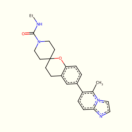 CCNC(=O)N1CCC2(CCc3cc(-c4ccc5nccn5c4C)ccc3O2)CC1